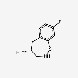 C[C@H]1CNSc2cc(F)ccc2C1